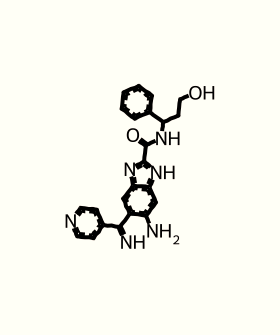 N=C(c1ccncc1)c1cc2nc(C(=O)NC(CCO)c3ccccc3)[nH]c2cc1N